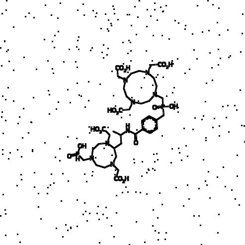 CC(CC1CN(CC(=O)O)CCN(C[PH](=O)O)CCN1CC(=O)O)NC(=O)c1ccc(CP(=O)(O)CN2CCN(CC(=O)O)CCN(CC(=O)O)CCN(CC(=O)O)CC2)cc1